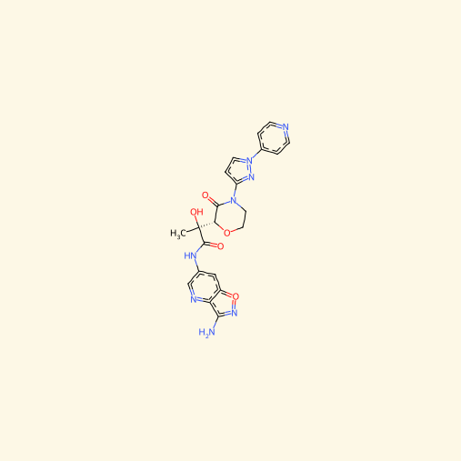 CC(O)(C(=O)Nc1cnc2c(N)noc2c1)[C@H]1OCCN(c2ccn(-c3ccncc3)n2)C1=O